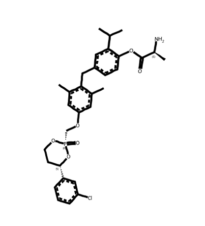 Cc1cc(OC[P@@]2(=O)OCC[C@@H](c3cccc(Cl)c3)O2)cc(C)c1Cc1ccc(OC(=O)[C@H](C)N)c(C(C)C)c1